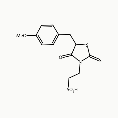 COc1ccc(CC2SC(=S)N(CCS(=O)(=O)O)C2=O)cc1